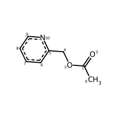 CC(=O)OCc1ccc[c]n1